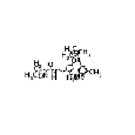 COC1=C(c2c(C)cc(C)cc2C#C[Si](C)(C)C)C(=O)CC1CCNC(=O)C1=NOC(C)(C)C1